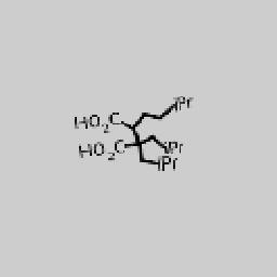 CC(C)CCC(C(=O)O)C(CC(C)C)(CC(C)C)C(=O)O